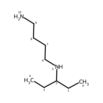 CCC(CC)NCCCCN